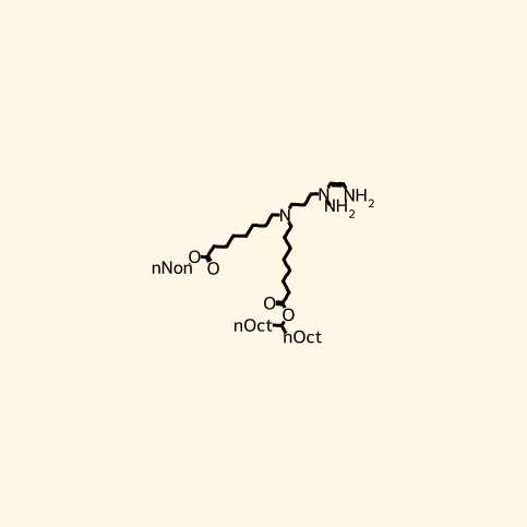 CCCCCCCCCOC(=O)CCCCCCCN(CCCCCCCC(=O)OC(CCCCCCCC)CCCCCCCC)CCCN(N)/C=C\N